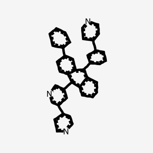 c1ccc(-c2ccc3c(-c4cncc(-c5ccncc5)c4)c4ccccc4c(-c4cccc(-c5ccncc5)c4)c3c2)cc1